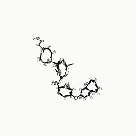 Cc1nc(Nc2ccc(Oc3ccc4ccccc4c3)cn2)nc(N2CCN(CCO)CC2)n1